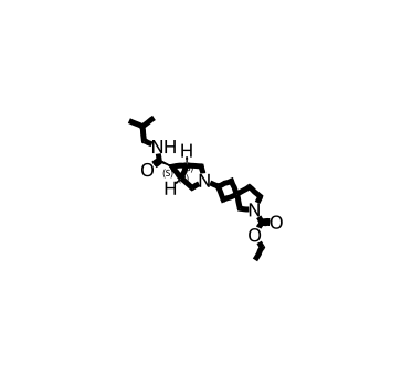 CCOC(=O)N1CCC2(CC(N3C[C@@H]4[C@H](C3)[C@@H]4C(=O)NCC(C)C)C2)C1